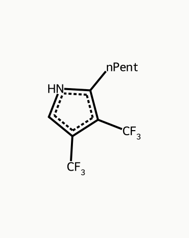 CCCCCc1[nH]cc(C(F)(F)F)c1C(F)(F)F